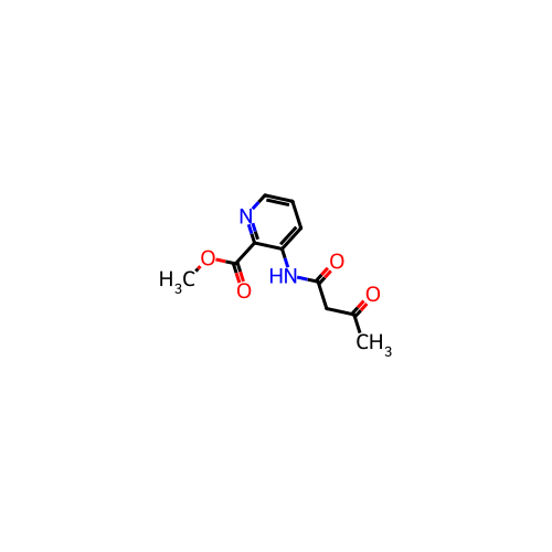 COC(=O)c1ncccc1NC(=O)CC(C)=O